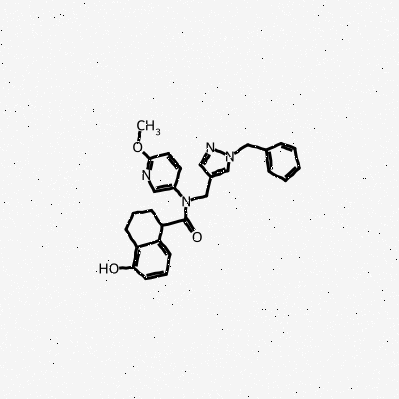 COc1ccc(N(Cc2cnn(Cc3ccccc3)c2)C(=O)C2CCCc3c(O)cccc32)cn1